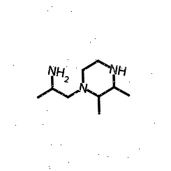 CC(N)CN1CCNC(C)C1C